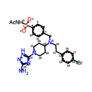 CC(=O)NS(=O)(=O)c1ccc(CN(CCc2ccc(Br)cc2)C2CCN(c3nc(N)n[nH]3)CC2)cc1